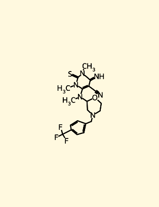 CN(c1c(C#N)c(=N)n(C)c(=S)n1C)C1CN(Cc2ccc(C(F)(F)F)cc2)CCO1